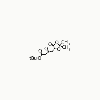 CC(C)(C)OC(=O)CC(=O)C[C@@H]1OC(C)(C)OC1=O